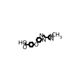 Cn1cc(-c2cnc3ccc(Oc4ccc(C(=O)O)cc4)cc3n2)cn1